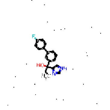 CCC(O)(c1cccc(-c2ccc(F)cc2)c1)c1c[nH]cn1